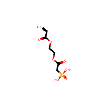 C=CC(=O)OCCOC(=O)CP(=O)(O)O